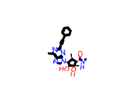 CNC(=O)[C@H]1[C@H](C)[C@@H](n2cnc3c(C)nc(C#Cc4ccccc4)nc32)[C@H](O)[C@@]1(C)O